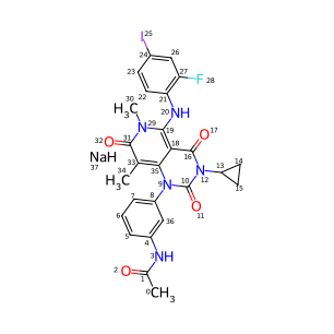 CC(=O)Nc1cccc(-n2c(=O)n(C3CC3)c(=O)c3c(Nc4ccc(I)cc4F)n(C)c(=O)c(C)c32)c1.[NaH]